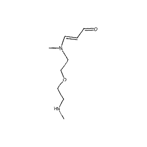 CNCCOCCN(C)/C=C/C=O